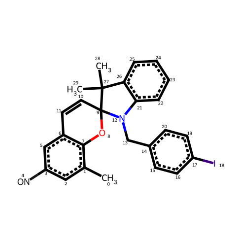 Cc1cc(N=O)cc2c1OC1(C=C2)N(Cc2ccc(I)cc2)c2ccccc2C1(C)C